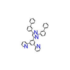 c1ccc(-c2cccc(-c3cc(-c4cc(-c5ccccn5)cc(-c5ccccn5)c4)nc(-c4cccc(-c5ccccc5)c4)n3)c2)cc1